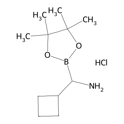 CC1(C)OB(C(N)C2CCC2)OC1(C)C.Cl